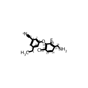 CCc1cc(C#N)cc(Oc2c(Cl)ccc(CN)c2F)c1